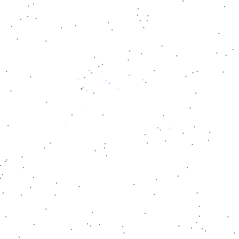 O=C(O)CCC(C(=O)O)n1c(=O)[nH]c(=O)n([C@@H](CCCCNC(=O)OCc2ccccc2)C(=O)O)c1=O